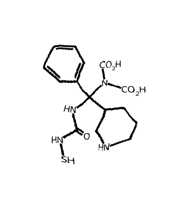 O=C(NS)NC(c1ccccc1)(C1CCCNC1)N(C(=O)O)C(=O)O